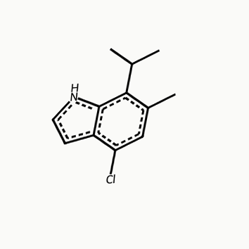 Cc1cc(Cl)c2cc[nH]c2c1C(C)C